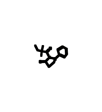 CCC(C)(C)C(=O)N1C(=O)CCN1c1ccccc1